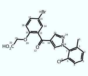 Cc1cccc(Cl)c1-n1cc(C(=O)c2cc(Br)ccc2OCC(=O)O)cn1